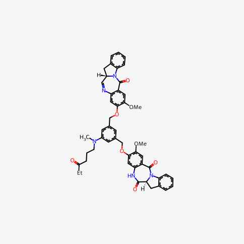 CCC(=O)CCCN(C)c1cc(COc2cc3c(cc2OC)C(=O)N2c4ccccc4C[C@H]2C=N3)cc(COc2cc3c(cc2OC)C(=O)N2c4ccccc4C[C@H]2C(=O)N3)c1